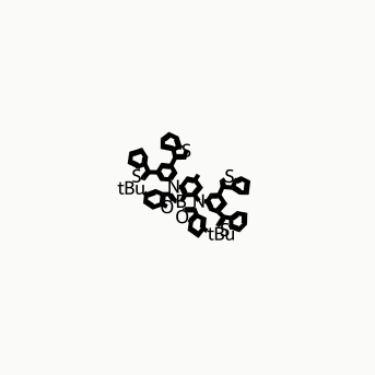 Cc1cc2c3c(c1)N(c1cc(-c4csc5ccccc45)cc(-c4csc5ccccc45)c1)c1c(oc4ccc(C(C)(C)C)cc14)B3c1oc3ccc(C(C)(C)C)cc3c1N2c1cc(-c2csc3ccccc23)cc(-c2csc3ccccc23)c1